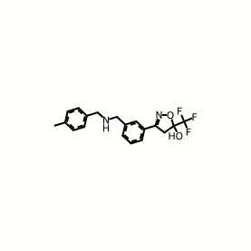 Cc1ccc(CNCc2cccc(C3=NOC(O)(C(F)(F)F)C3)c2)cc1